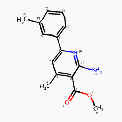 COC(=O)c1c(C)cc(-c2cccc(C)c2)nc1N